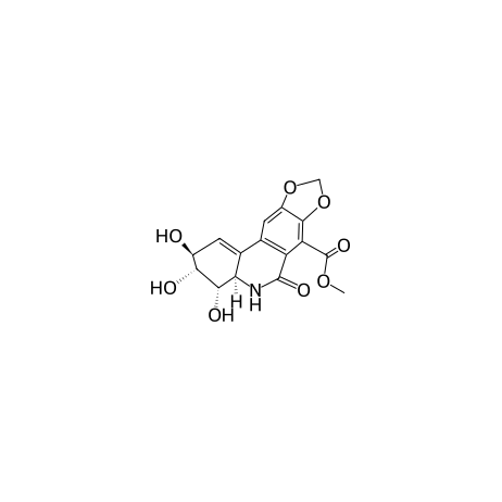 COC(=O)c1c2c(cc3c1C(=O)N[C@@H]1C3=C[C@H](O)[C@@H](O)[C@H]1O)OCO2